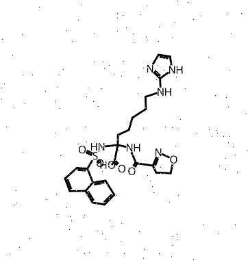 O=C(NC(CCCCCNc1ncc[nH]1)(NS(=O)(=O)c1cccc2ccccc12)C(=O)O)C1=NOCC1